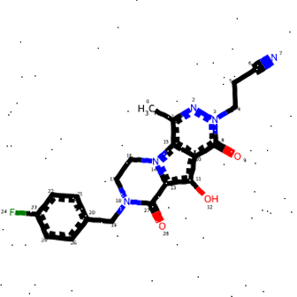 Cc1nn(CCC#N)c(=O)c2c(O)c3n(c12)CCN(Cc1ccc(F)cc1)C3=O